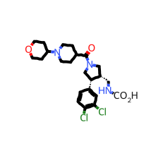 O=C(O)NC[C@H]1CN(C(=O)C2CCN(C3CCOCC3)CC2)C[C@H]1c1ccc(Cl)c(Cl)c1